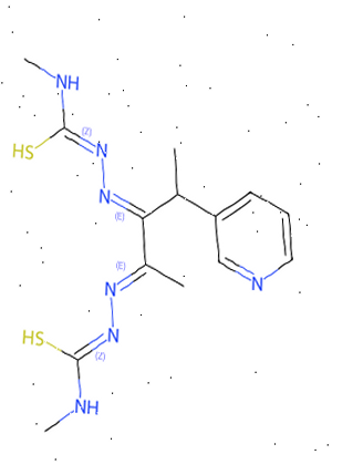 CN/C(S)=N/N=C(C)/C(=N/N=C(\S)NC)C(C)c1cccnc1